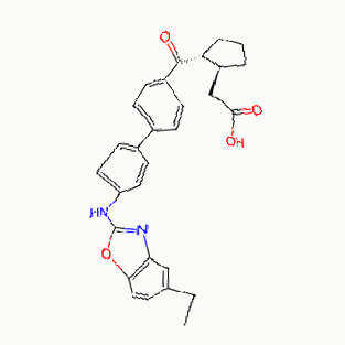 CCc1ccc2oc(Nc3ccc(-c4ccc(C(=O)[C@@H]5CCC[C@H]5CC(=O)O)cc4)cc3)nc2c1